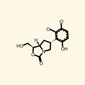 O=C1O[C@@H](CO)[C@@H]2C[C@H](c3c(O)ccc(Cl)c3Cl)CN12